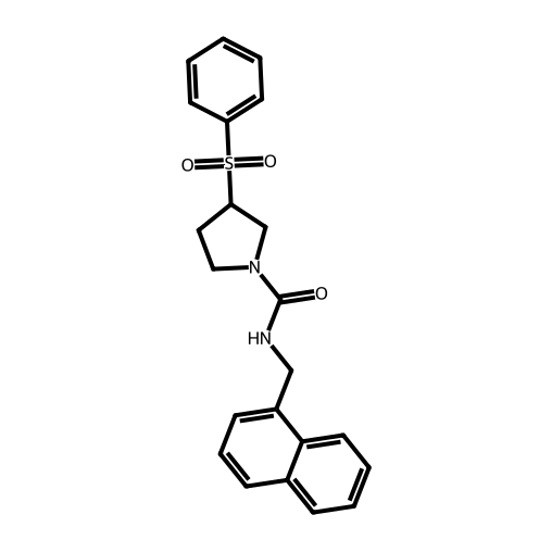 O=C(NCc1cccc2ccccc12)N1CCC(S(=O)(=O)c2ccccc2)C1